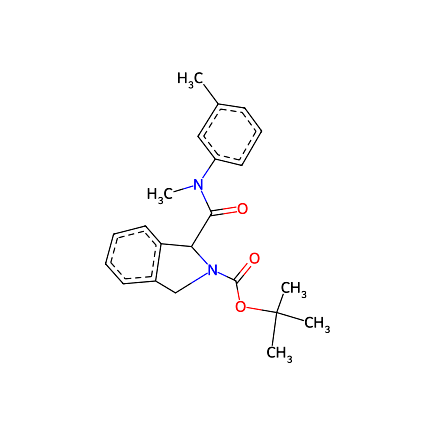 Cc1cccc(N(C)C(=O)C2c3ccccc3CN2C(=O)OC(C)(C)C)c1